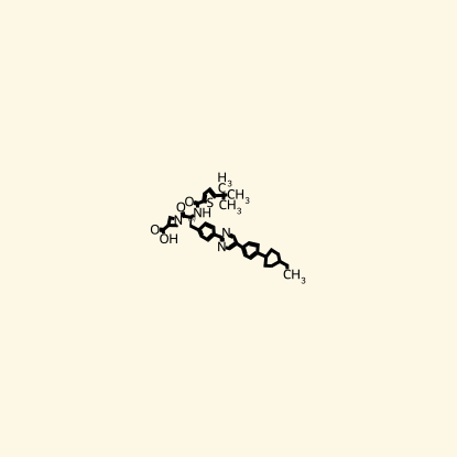 CCC1CCC(c2ccc(-c3cnc(-c4ccc(C[C@H](NC(=O)c5ccc(C(C)(C)C)s5)C(=O)N5CC(C(=O)O)C5)cc4)nc3)cc2)CC1